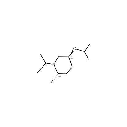 CC(C)O[C@H]1CC[C@H](C)N(C(C)C)C1